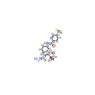 NC1=N[C@@]2(c3cc(NC(=O)c4ccc(C(F)F)cn4)ccc3F)COC[C@H]2CS1